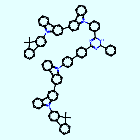 CC1(C)c2ccccc2-c2ccc(-n3c4ccccc4c4cc(-c5ccc6c(c5)c5ccccc5n6-c5ccc(-c6ccc(C7=NC(c8ccccc8)NC(c8cccc(-n9c%10ccccc%10c%10cc(-c%11ccc%12c(c%11)c%11ccccc%11n%12-c%11ccc%12c(c%11)C(C)(C)c%11ccccc%11-%12)ccc%109)c8)=N7)cc6)cc5)ccc43)cc21